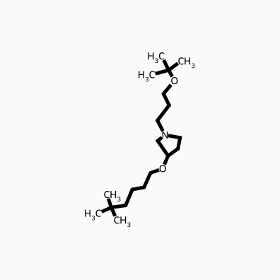 CC(C)(C)CCCCOC1CCN(CCCOC(C)(C)C)C1